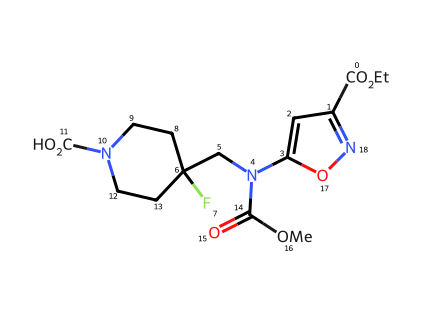 CCOC(=O)c1cc(N(CC2(F)CCN(C(=O)O)CC2)C(=O)OC)on1